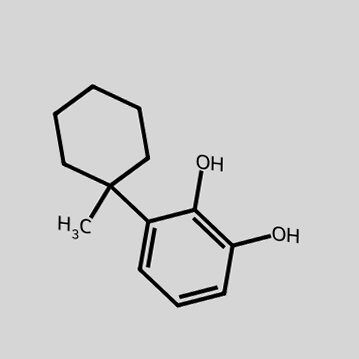 CC1(c2cccc(O)c2O)CCCCC1